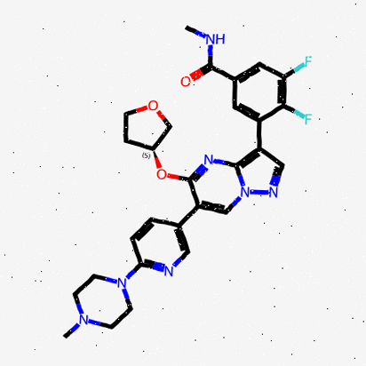 CNC(=O)c1cc(F)c(F)c(-c2cnn3cc(-c4ccc(N5CCN(C)CC5)nc4)c(O[C@H]4CCOC4)nc23)c1